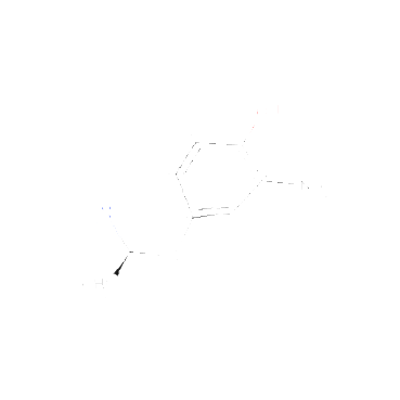 N[C@H](C=O)Cc1ccc(O)c([N+](=O)[O-])c1